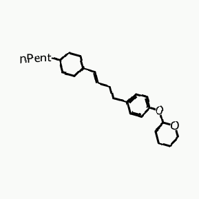 CCCCCC1CCC(C=CCCc2ccc(OC3CCCCO3)cc2)CC1